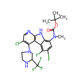 CN(C(=O)OC(C)(C)C)c1cc(F)c(F)c2c1[nH]c1ncc(Cl)c(N3CCNC(C(F)(F)F)C3)c12